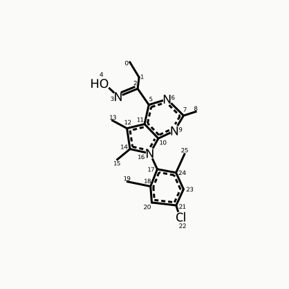 CCC(=NO)c1nc(C)nc2c1c(C)c(C)n2-c1c(C)cc(Cl)cc1C